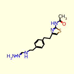 CC(=O)Nc1nc(CCc2ccc(CCNC=NN)cc2)cs1